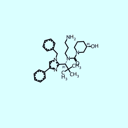 CC(C)(C)[C@H](c1nc(-c2ccccc2)cn1Cc1ccccc1)N(CCCN)C(=O)N1CCC[C@@H](O)C1